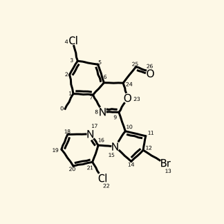 Cc1cc(Cl)cc2c1N=C(c1cc(Br)cn1-c1ncccc1Cl)OC2C=O